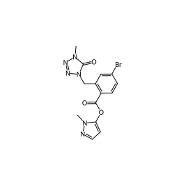 Cn1nccc1OC(=O)c1ccc(Br)cc1Cn1nnn(C)c1=O